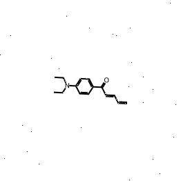 C=CC=CC(=O)c1ccc(N(CC)CC)cc1